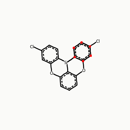 Clc1ccc2c(c1)Oc1cccc3c1[Si]2(c1ccccc1)c1ccc(Cl)cc1O3